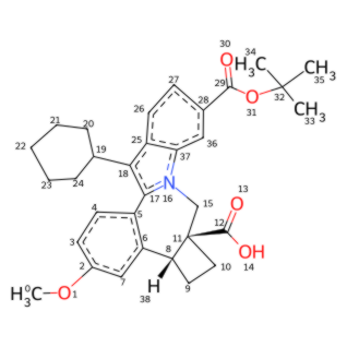 COc1ccc2c(c1)[C@H]1CC[C@@]1(C(=O)O)Cn1c-2c(C2CCCCC2)c2ccc(C(=O)OC(C)(C)C)cc21